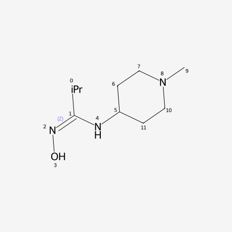 CC(C)/C(=N/O)NC1CCN(C)CC1